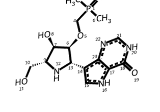 CP(C)(=O)CO[C@@H]1[C@H](O)[C@@H](CO)N[C@H]1c1c[nH]c2c(=O)[nH]cnc12